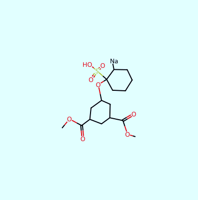 COC(=O)C1CC(OC2(S(=O)(=O)O)CCCC[CH]2[Na])CC(C(=O)OC)C1